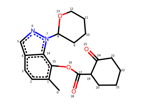 Cc1ccc2cnn(C3CCCCO3)c2c1OC(=O)C1CCCCC1=O